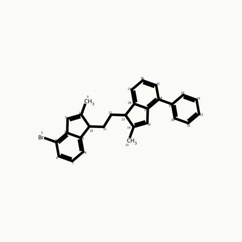 CC1=Cc2c(Br)cccc2C1CCC1C(C)=Cc2c(-c3ccccc3)cccc21